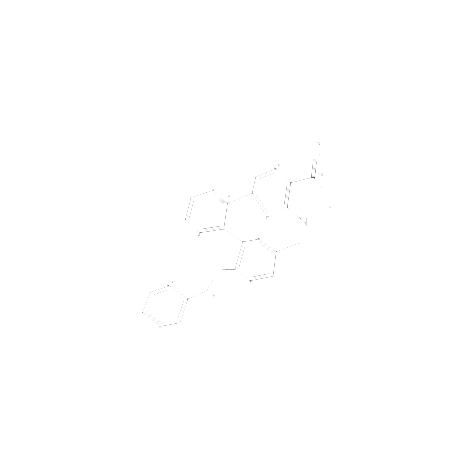 Nc1cc(-c2ccccc2-c2cc(Cl)ccc2OCc2ccccc2)ccc1C(=O)O